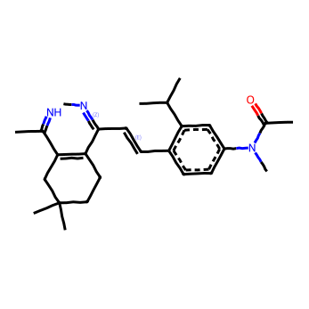 C/N=C(/C=C/c1ccc(N(C)C(C)=O)cc1C(C)C)C1=C(C(C)=N)CC(C)(C)CC1